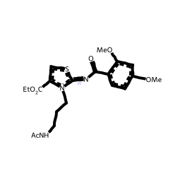 CCOC(=O)c1cs/c(=N\C(=O)c2ccc(OC)cc2OC)n1CCCNC(C)=O